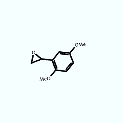 COc1ccc(OC)c(C2CO2)c1